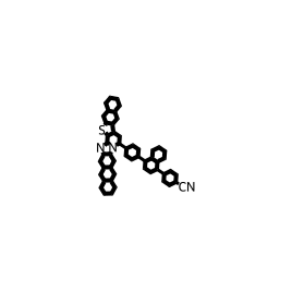 N#Cc1ccc(-c2ccc(-c3ccc(-c4cc5c6cc7ccccc7cc6sc5c5nc6cc7cc8ccccc8cc7cc6n45)cc3)c3ccccc23)cc1